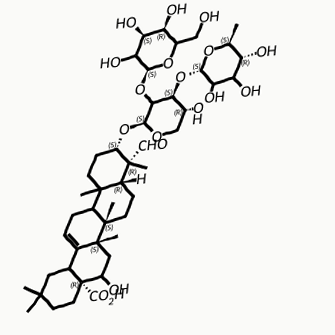 C[C@@H]1O[C@@H](O[C@@H]2C(O[C@@H]3OC(CO)[C@H](O)[C@H](O)C3O)[C@H](O[C@H]3CCC4(C)C5CC=C6C7CC(C)(C)CC[C@]7(C(=O)O)C(O)C[C@@]6(C)[C@@]5(C)CC[C@H]4[C@@]3(C)C=O)OC[C@H]2O)C(O)C(O)[C@H]1O